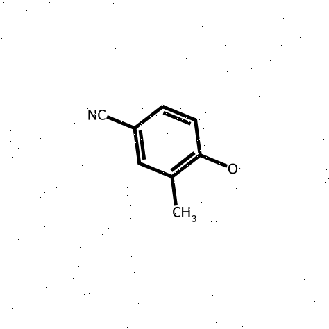 Cc1cc(C#N)ccc1[O]